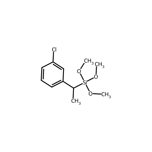 CO[Si](OC)(OC)C(C)c1cccc(Cl)c1